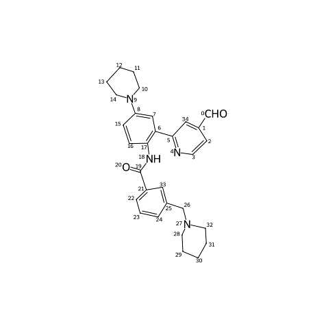 O=Cc1ccnc(-c2cc(N3CCCCC3)ccc2NC(=O)c2cccc(CN3CCCCC3)c2)c1